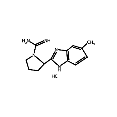 Cc1ccc2[nH]c(C3CCCN3C(=N)N)nc2c1.Cl